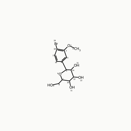 COc1cc(C2OC(CO)C(O)C(O)C2O)ccc1Br